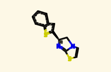 C1=CN2C[C@H](c3cc4ccccc4s3)N=C2S1